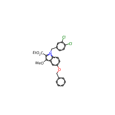 CCOC(=O)c1c(OC)c2cc(OCc3ccccc3)ccc2n1Cc1ccc(Cl)c(Cl)c1